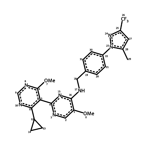 COc1cnc(-c2c(OC)ncnc2C2CC2)nc1NCc1ccc(-n2nc(C(F)(F)F)cc2C)cc1